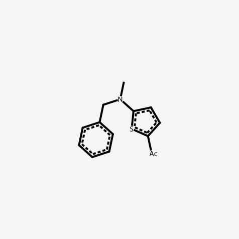 CC(=O)c1ccc(N(C)Cc2ccccc2)s1